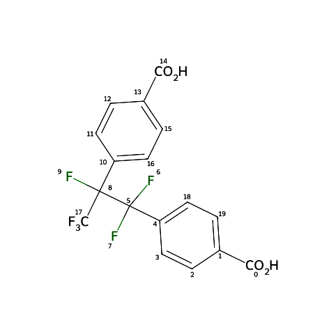 O=C(O)c1ccc(C(F)(F)C(F)(c2ccc(C(=O)O)cc2)C(F)(F)F)cc1